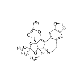 C[C@H]1CN2CCc3cc4c(cc3C3=C(OC(=O)C(C)(C)C)[C@H]5OC(C)(C)O[C@H]5[C@@]32C1)OCO4